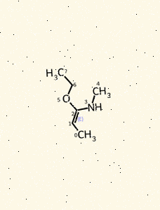 C/C=C(\NC)OCC